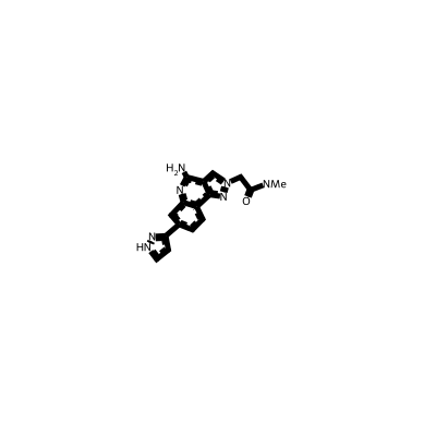 CNC(=O)Cn1cc2c(N)nc3cc(-c4cc[nH]n4)ccc3c2n1